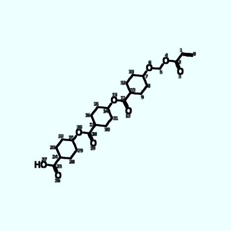 C=CC(=O)OCOC1CCC(C(=O)OC2CCC(C(=O)OC3CCC(C(=O)O)CC3)CC2)CC1